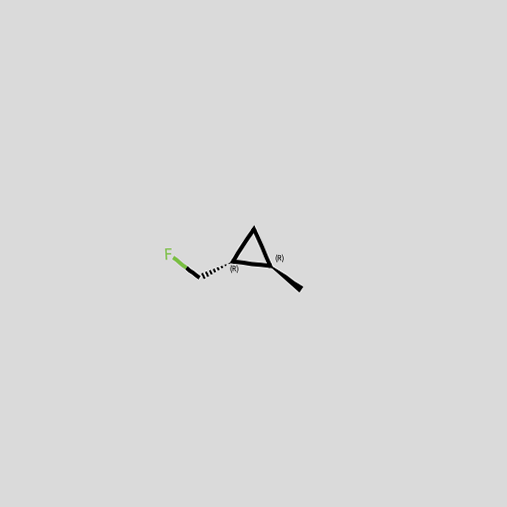 C[C@@H]1C[C@H]1CF